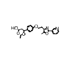 CCOC(CC(=O)O)c1ccc(OCCc2nc(-c3cccnc3)oc2C)cc1